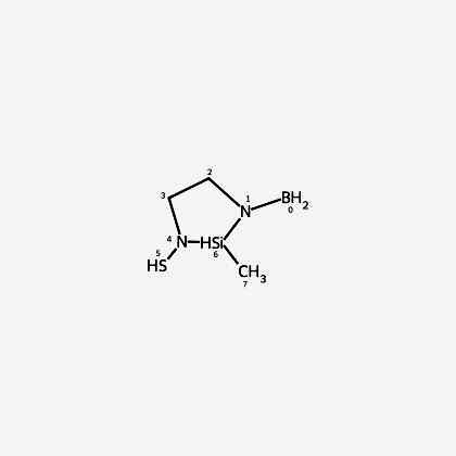 BN1CCN(S)[SiH]1C